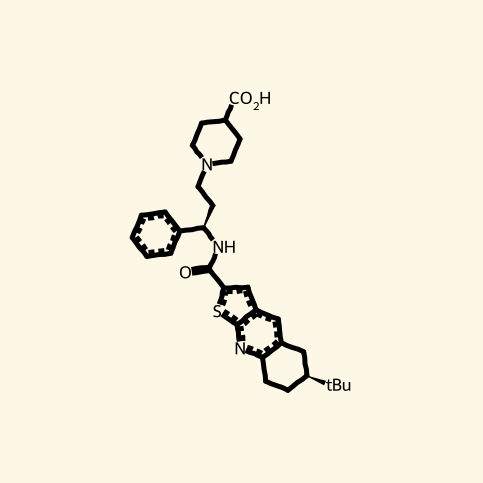 CC(C)(C)[C@H]1CCc2nc3sc(C(=O)N[C@H](CCN4CCC(C(=O)O)CC4)c4ccccc4)cc3cc2C1